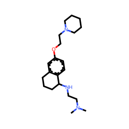 CN(C)CCNC1CCCc2cc(OCCN3CCCCC3)ccc21